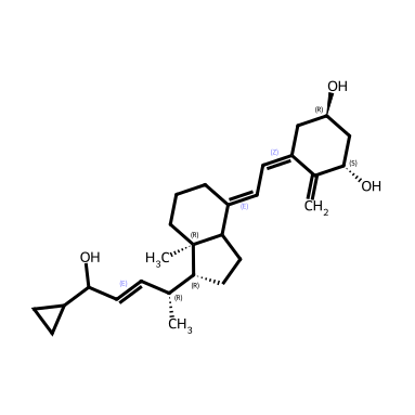 C=C1/C(=C\C=C2/CCC[C@@]3(C)C2CC[C@@H]3[C@H](C)/C=C/C(O)C2CC2)C[C@@H](O)C[C@@H]1O